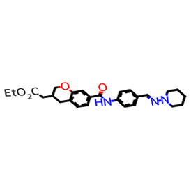 CCOC(=O)CC1COc2cc(C(=O)Nc3ccc(/C=N/N4CCCCC4)cc3)ccc2C1